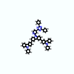 c1ccc(-c2nc(-c3ccccc3)nc(-c3ccnc(-n4c5ccc(-c6ccc7c(c6)c6ccccc6n7-c6ccccc6)cc5c5cc(-c6ccc7c(c6)c6ccccc6n7-c6ccccc6)ccc54)c3)n2)cc1